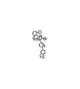 Fc1cccc(Cl)c1-c1nc(Br)c(-c2ccc(-c3ccc4sccc4c3)nc2)[nH]1